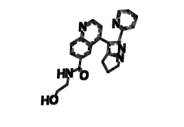 O=C(NCCO)c1ccc2nccc(-c3c(-c4ccccn4)nn4c3CCC4)c2c1